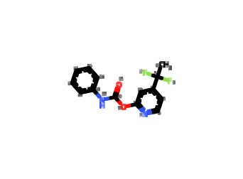 CC(F)(F)c1ccnc(OC(=O)Nc2ccccc2)c1